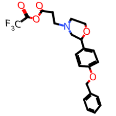 O=C(CCN1CCOC(c2ccc(OCc3ccccc3)cc2)C1)OC(=O)C(F)(F)F